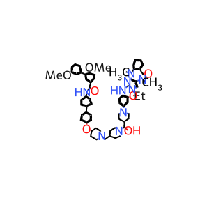 CCOc1cc(N2CCC(C(O)N3CCC(CN4CCC(Oc5ccc(-c6ccc(NC(=O)c7ccc(OC)c(-c8cccc(OC)c8)c7)cc6)cc5)CC4)CC3)CC2)ccc1Nc1ncc2c(n1)N(C)c1ccccc1C(=O)N2C